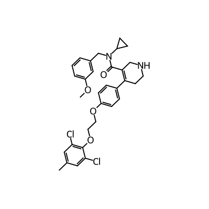 COc1cccc(CN(C(=O)C2=C(c3ccc(OCCOc4c(Cl)cc(C)cc4Cl)cc3)CCNC2)C2CC2)c1